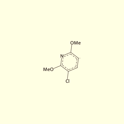 COc1[c]cc(Cl)c(OC)n1